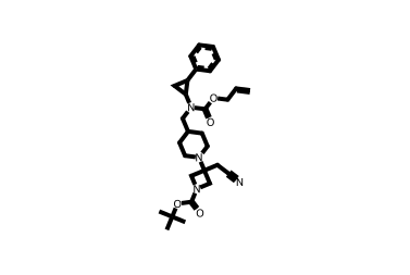 C=CCOC(=O)N(CC1CCN(C2(CC#N)CN(C(=O)OC(C)(C)C)C2)CC1)C1CC1c1ccccc1